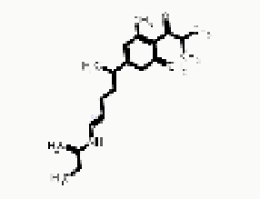 C=C(CC)N/C=C/CCC(C)C1=CC(C)=C(C(=O)C(C)C)C(=C)C1